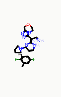 Cc1cc(F)cc([C@H]2CCCN2C2=N/C(=C(/C=N)c3nnc4n3CCOC4)NC=C2)c1F